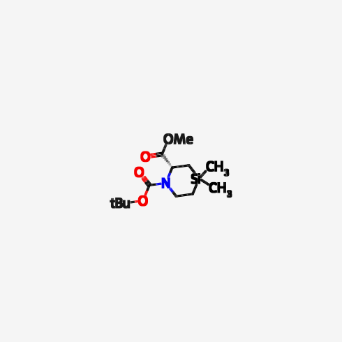 COC(=O)[C@@H]1C[Si](C)(C)CCN1C(=O)OC(C)(C)C